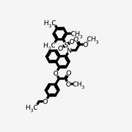 CCOc1ccc(C(Oc2ccc(N(CC(=O)OC)S(=O)(=O)c3c(C)cc(C)cc3C)c3ccccc23)C(=O)OC)cc1